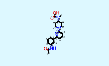 CC(=O)Nc1cccc(-c2cccc(N3CCC(N(C)C(=O)O)CC3)n2)c1